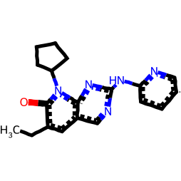 CCc1cc2cnc(Nc3cc[c]cn3)nc2n(C2CCCC2)c1=O